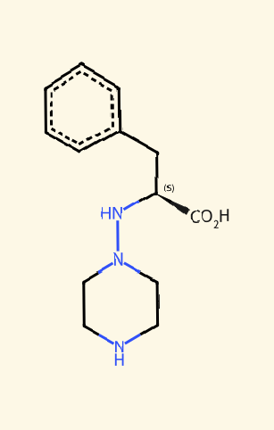 O=C(O)[C@H](Cc1ccccc1)NN1CCNCC1